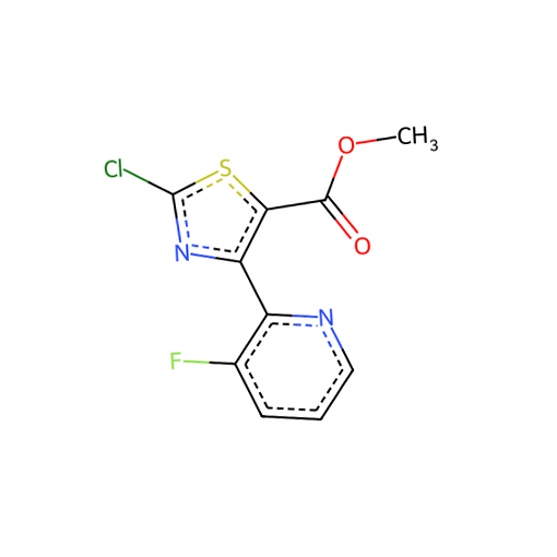 COC(=O)c1sc(Cl)nc1-c1ncccc1F